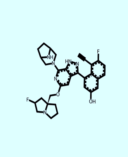 C#Cc1c(F)ccc2cc(O)cc(-c3n[nH]c4c(N5CC6CCC(C5)N6)nc(OC[C@@]56CCCN5CC(F)C6)cc34)c12